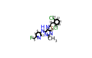 Cc1nc(Nc2ccc(CF)nc2)c2nc(Cc3c(Cl)cccc3Cl)sc2n1